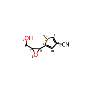 N#Cc1csc(C2OC2CO)c1